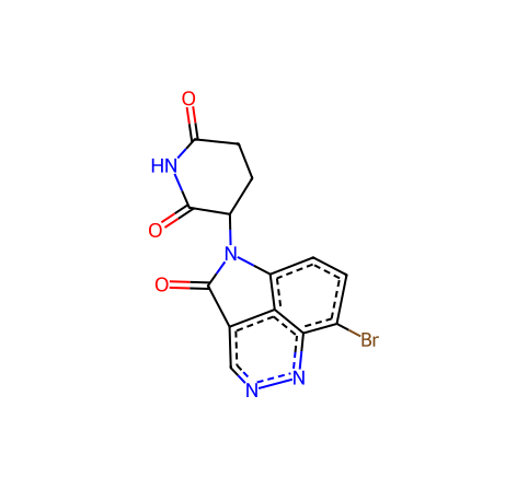 O=C1CCC(N2C(=O)c3cnnc4c(Br)ccc2c34)C(=O)N1